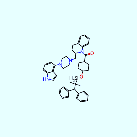 CC(C)([SiH2]OC1CCC(C(=O)N2c3ccccc3CCC2CN2CCN(c3cccc4[nH]ccc34)CC2)CC1)C(c1ccccc1)c1ccccc1